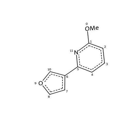 COc1cccc(-c2ccoc2)n1